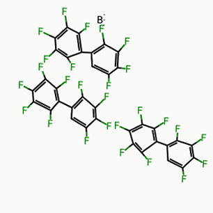 Fc1cc(-c2c(F)c(F)c(F)c(F)c2F)c(F)c(F)c1F.Fc1cc(-c2c(F)c(F)c(F)c(F)c2F)c(F)c(F)c1F.Fc1cc(-c2c(F)c(F)c(F)c(F)c2F)c(F)c(F)c1F.[B]